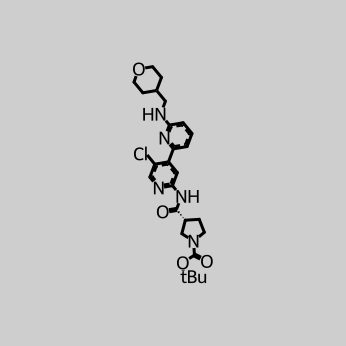 CC(C)(C)OC(=O)N1CC[C@@H](C(=O)Nc2cc(-c3cccc(NCC4CCOCC4)n3)c(Cl)cn2)C1